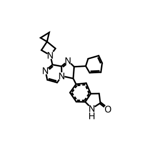 O=C1Cc2cc(C3C(C4C=CC=CC4)N=C4C(N5CC6(CC6)C5)=NC=CN43)ccc2N1